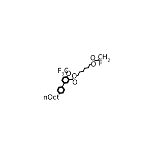 C=C(F)C(=O)OCCCCCCOC(=O)c1cc(-c2ccc(CCCCCCCC)cc2)ccc1OC(F)(F)F